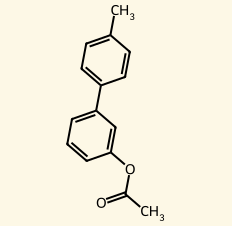 CC(=O)Oc1cccc(-c2ccc(C)cc2)c1